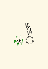 N#Cc1ccccc1.[F][Sb-]([F])([F])([F])([F])[F].[H+].[Pd].[Pd]